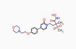 CC(CCn1ccc(-c2ccc(OCCN3CCOCC3)cc2)cc1=O)(C(=O)NO)S(C)(=O)=O